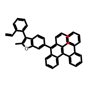 C=Cc1ccccc1-c1c(C)oc2cc(-c3c4ccccc4c(-c4ccccc4-c4ccccc4)c4ccccc34)ccc12